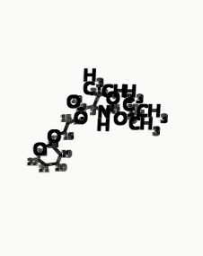 CC(C)C(NC(=O)OC(C)(C)C)C(=O)OCCOC1CCCCO1